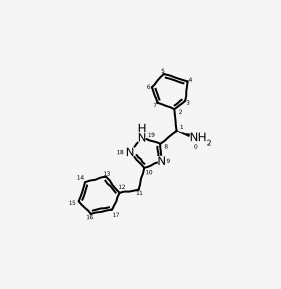 N[C@H](c1ccccc1)c1nc(Cc2ccccc2)n[nH]1